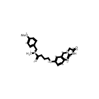 COc1ccc(CN(C)C(=O)CCCOc2ccc3c(c2)CN2CC(=O)NC2=N3)cc1